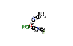 Cl.Cl.O=C(CCC1CCN(Cc2cccc([N+](=O)[O-])c2)CC1)c1ccc2c(c1)CN(Cc1ccc(F)cc1)CCC2